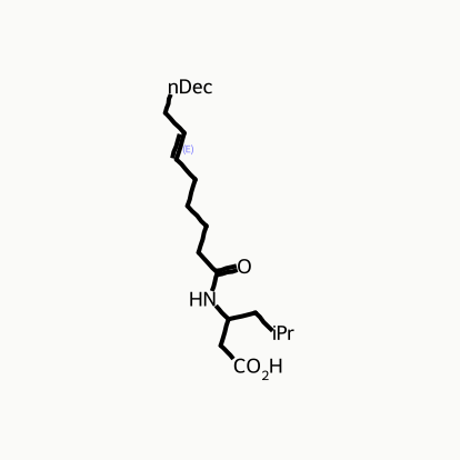 CCCCCCCCCCC/C=C/CCCCC(=O)NC(CC(=O)O)CC(C)C